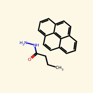 CCCC(=O)NN.c1cc2ccc3cccc4ccc(c1)c2c34